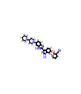 N#Cc1cccnc1Oc1ccc2c(-c3nc4ccc(N5CCC(N6CCCCC6)CC5)cc4[nH]3)n[nH]c2c1